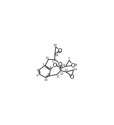 c1cc2c(OCC3CO3)c(c1)CC(C1CO1)OC(C1CO1)C2